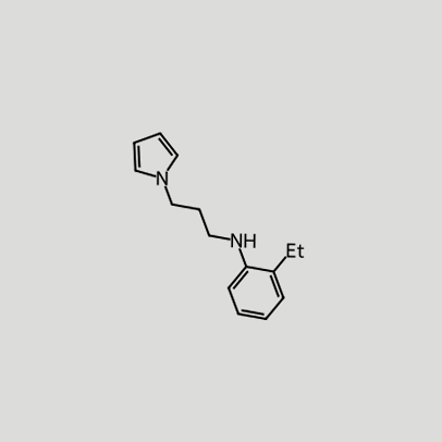 CCc1ccccc1NCCCn1cccc1